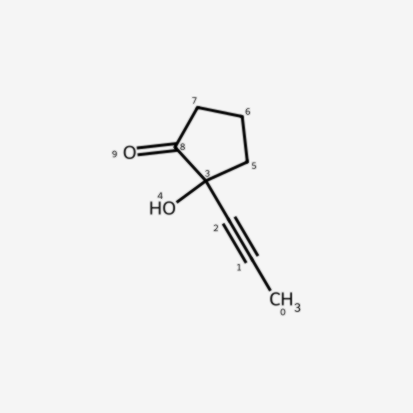 CC#CC1(O)CCCC1=O